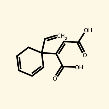 C=CC1(/C(=C/C(=O)O)C(=O)O)C=CC=CC1